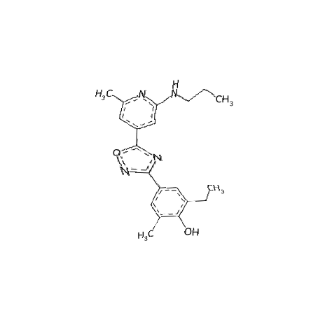 CCCNc1cc(-c2nc(-c3cc(C)c(O)c(CC)c3)no2)cc(C)n1